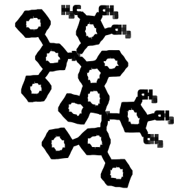 Cc1cc(N(c2cc(-c3ccccc3)cc(-c3ccccc3)c2)c2cc3c4ccccc4c(N(c4cc(-c5ccccc5)cc(-c5ccccc5)c4)c4cc(C)c(C)c(C)c4)cc3c3ccccc23)cc(C)c1C